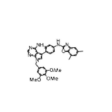 COc1cc(Cn2cc(-c3ccc(Nc4nc5cc(C)cc(C)c5o4)cc3)c3c(N)ncnc32)cc(OC)c1OC